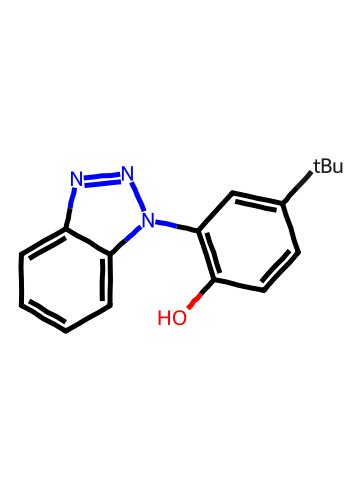 CC(C)(C)c1ccc(O)c(-n2nnc3ccccc32)c1